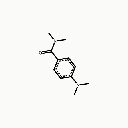 CN(C)C(=O)c1ccc(N(C)C)cc1